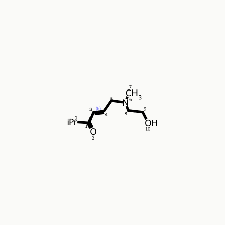 CC(C)C(=O)/C=C/CN(C)CCO